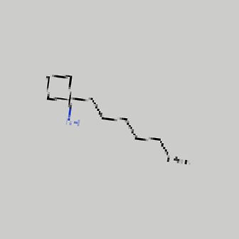 CCCCCCCCCCC1([NH])CCC1